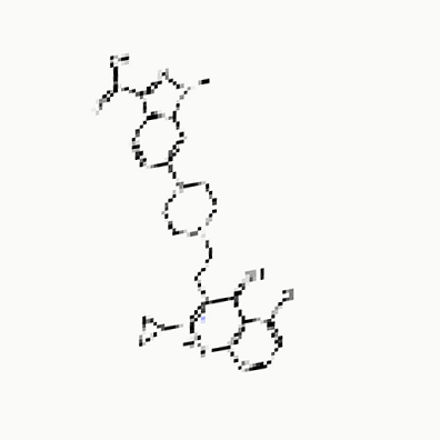 Cn1nc(C(=O)O)c2ccc(N3CCN(CC/C(C(=N)c4c(Cl)cccc4Cl)=C(/O)C4CC4)CC3)cc21